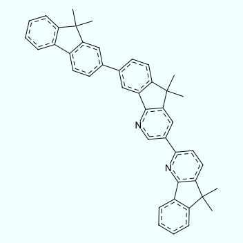 CC1(C)c2ccccc2-c2ccc(-c3ccc4c(c3)-c3ncc(-c5ccc6c(n5)-c5ccccc5C6(C)C)cc3C4(C)C)cc21